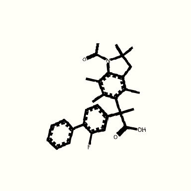 CC(=O)N1c2c(C)c(C)c(C(C)(C(=O)O)c3ccc(-c4ccccc4)c(F)c3)c(C)c2CC1(C)C